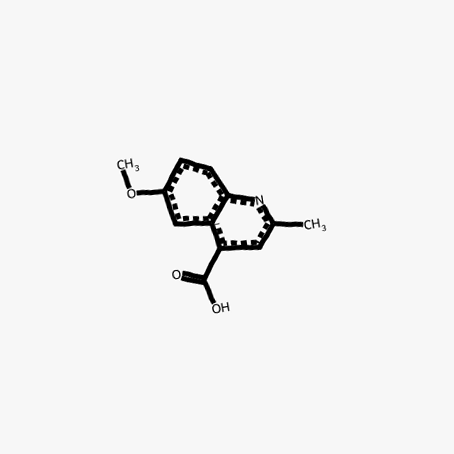 COc1ccc2nc(C)cc(C(=O)O)c2c1